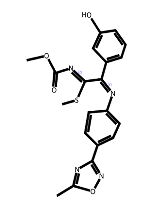 COC(=O)/N=C(SC)/C(=N\c1ccc(-c2noc(C)n2)cc1)c1cccc(O)c1